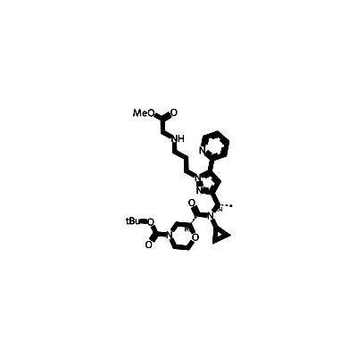 COC(=O)CNCCCn1nc([C@H](C)N(C(=O)[C@H]2CN(C(=O)OC(C)(C)C)CCO2)C2CC2)cc1-c1ccccn1